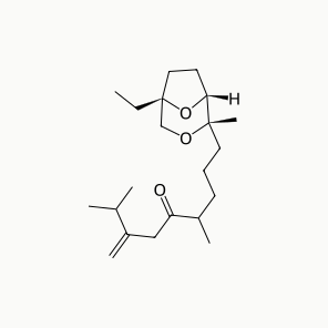 C=C(CC(=O)C(C)CCC[C@]1(C)OC[C@]2(CC)CC[C@H]1O2)C(C)C